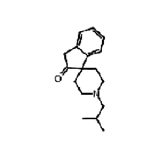 C[C](C)CN1CCC2(CC1)C(=O)Cc1ccccc12